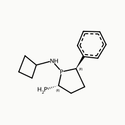 P[C@H]1CC[C@H](c2ccccc2)P1NC1CCC1